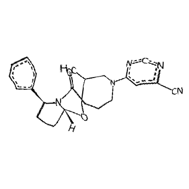 CC1CN(c2cc(C#N)ncn2)CCC12O[C@@H]1CC[C@@H](c3ccccc3)N1C2=O